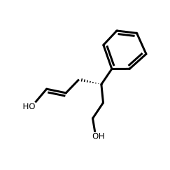 O/C=C/C[C@@H](CCO)c1ccccc1